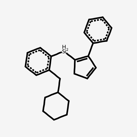 C1=CC(c2ccccc2)=C([SiH2]c2ccccc2CC2CCCCC2)C1